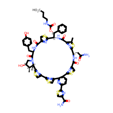 Cc1sc2nc1C(=O)N[C@@H]([C@H](OC(=O)NCCCC(=O)O)c1ccccc1)c1nc(cs1)C(=O)NC(Cc1ccc(O)cc1)C(=O)N1C[C@H](O)[C@H](C)[C@H]1c1nc(cs1)-c1nc(cs1)-c1nc(-c3nc(C(N)=O)cs3)ccc1-c1nc(cs1)C(=O)N[C@H]2CC(N)=O